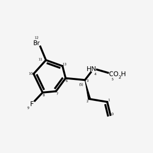 C=CC[C@H](NC(=O)O)c1cc(F)cc(Br)c1